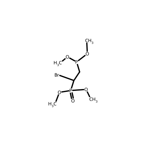 COP(CC(Br)P(=O)(OC)OC)OC